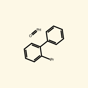 CC(C)c1ccccc1-c1ccccc1.O=P